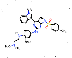 CCN(CCN(C)C)c1ccc(Nc2nc(-c3cn(C)c4ccccc34)c3ccn(S(=O)(=O)c4ccc(C)cc4)c3n2)cc1NC